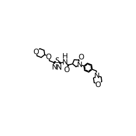 O=C(Nc1nnc(COC2CCOCC2)s1)C1CC(=O)N(c2ccc(CN3CCOCC3)cc2)C1